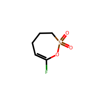 O=S1(=O)CCCC=C(F)O1